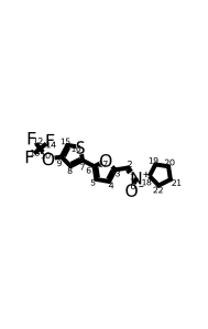 [O-][N+](=Cc1ccc(-c2cc(OC(F)(F)F)cs2)o1)C1CCCC1